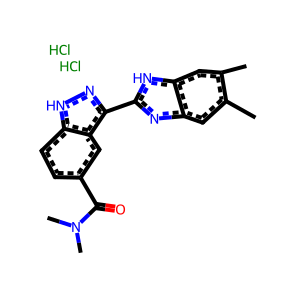 Cc1cc2nc(-c3n[nH]c4ccc(C(=O)N(C)C)cc34)[nH]c2cc1C.Cl.Cl